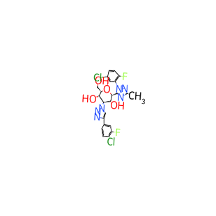 Cc1nc([C@@H]2O[C@H](CO)[C@H](O)[C@H](n3cc(-c4ccc(Cl)c(F)c4)nn3)[C@H]2O)n(-c2cc(Cl)ccc2F)n1